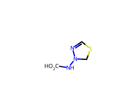 O=C(O)NN1CSC=N1